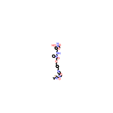 CC(C)c1nc(C(=O)N2CCOC3(CCN(CCc4ccc(CCOCCC(=O)N(CCNCCc5ccc(O)c6c5OCC(=O)N6)C5CCCCC5)cc4)CC3)C2)cs1